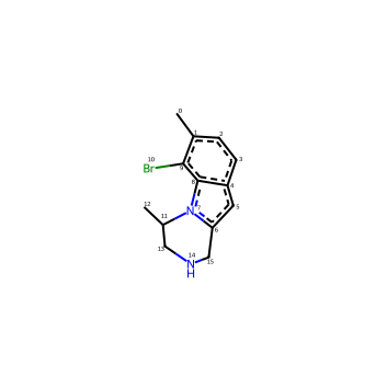 Cc1ccc2cc3n(c2c1Br)C(C)CNC3